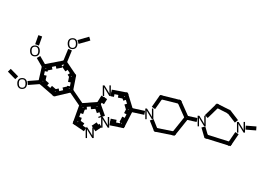 COc1cc(-c2cnn3cc(N4CCC(N5CCN(C)CC5)CC4)cnc23)cc(OC)c1OC